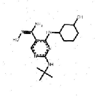 CC(C)(C)Nc1ncc(/C(N)=N\O)c(NC2CCCC(O)C2)n1